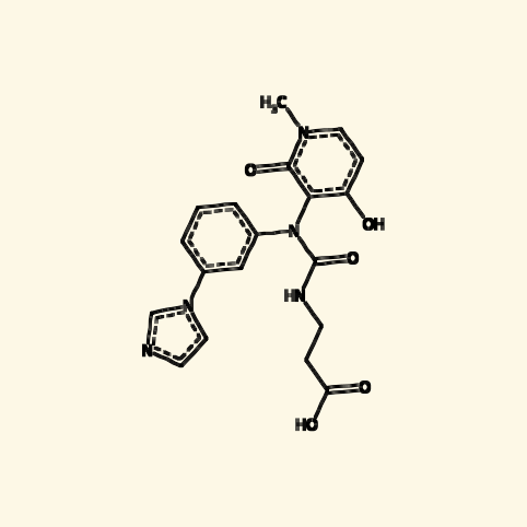 Cn1ccc(O)c(N(C(=O)NCCC(=O)O)c2cccc(-n3ccnc3)c2)c1=O